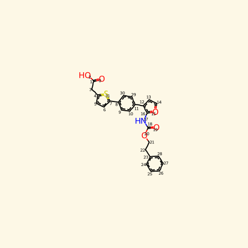 O=C(O)Cc1ccc(-c2ccc(-c3ccoc3NC(=O)OCCc3ccccc3)cc2)s1